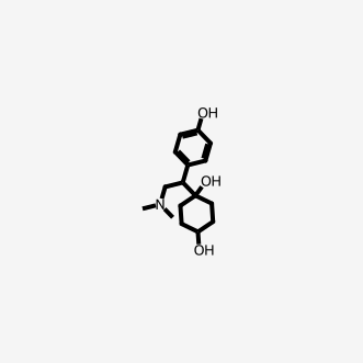 CN(C)CC(c1ccc(O)cc1)C1(O)CCC(O)CC1